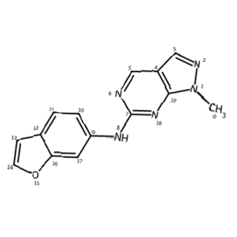 Cn1ncc2cnc(Nc3ccc4ccoc4c3)nc21